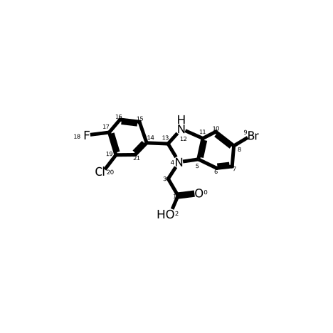 O=C(O)CN1c2ccc(Br)cc2NC1c1ccc(F)c(Cl)c1